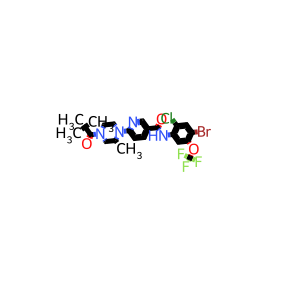 CC1CN(C(=O)C(C)(C)C)CCN1c1ccc(C(=O)Nc2cc(OC(F)(F)F)c(Br)cc2Cl)cn1